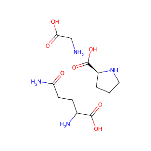 NC(=O)CCC(N)C(=O)O.NCC(=O)O.O=C(O)[C@@H]1CCCN1